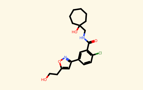 O=C(NCC1(O)CCCCCC1)c1cc(-c2cc(CCO)on2)ccc1Cl